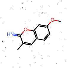 COc1ccc2cc(C)c(=N)oc2c1